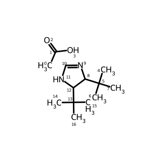 CC(=O)O.CC(C)(C)C1N=CNC1C(C)(C)C